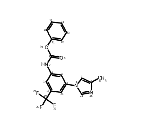 Cc1cn(-c2cc(NC(=O)Oc3ccccc3)cc(C(F)(F)F)c2)cn1